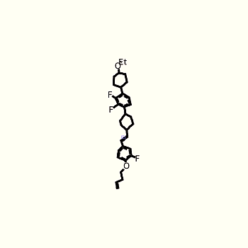 C=CCCOc1ccc(/C=C/C2CCC(c3ccc(C4CCC(OCC)CC4)c(F)c3F)CC2)cc1F